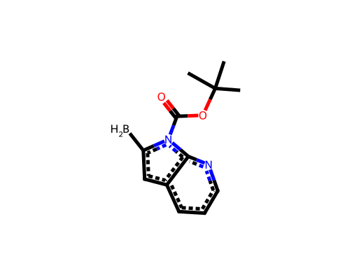 Bc1cc2cccnc2n1C(=O)OC(C)(C)C